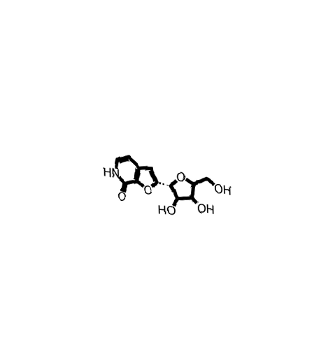 O=c1[nH]ccc2cc([C@@H]3OC(CO)C(O)C3O)oc12